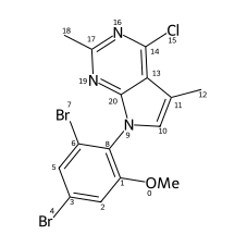 COc1cc(Br)cc(Br)c1-n1cc(C)c2c(Cl)nc(C)nc21